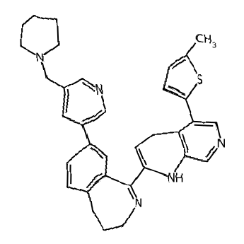 Cc1ccc(-c2cncc3c2CC=C(C2=NCCCc4ccc(-c5cncc(CN6CCCCC6)c5)cc42)N3)s1